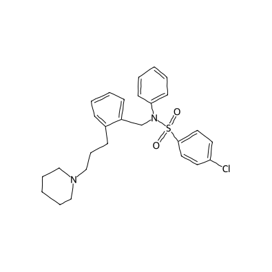 O=S(=O)(c1ccc(Cl)cc1)N(Cc1ccccc1CCCN1CCCCC1)c1ccccc1